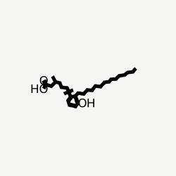 CCCCCCCCCCCCCCCc1c(O)cccc1C(C)(C)CCCC(C)CC(=O)O